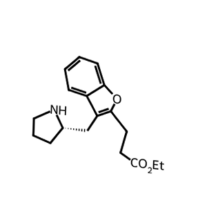 CCOC(=O)CCc1oc2ccccc2c1C[C@@H]1CCCN1